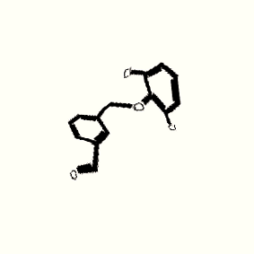 O=Cc1cccc(COc2c(Cl)cccc2Cl)c1